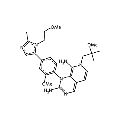 COCCn1c(-c2ccc(N3C(N)=NC=C4C=CN(CC(C)(C)OC)C(N)=C43)c(OC)c2)cnc1C